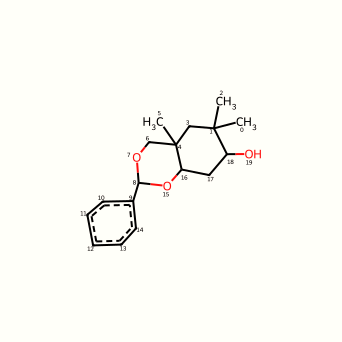 CC1(C)CC2(C)COC(c3ccccc3)OC2CC1O